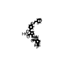 O=C(c1ccc(OCCC2CCOCC2)cc1)C1CCC(Cn2nnc3ccc(C(F)(F)F)cc3c2=O)C1C(=O)O